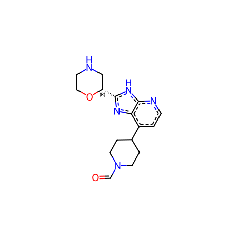 O=CN1CCC(c2ccnc3[nH]c([C@H]4CNCCO4)nc23)CC1